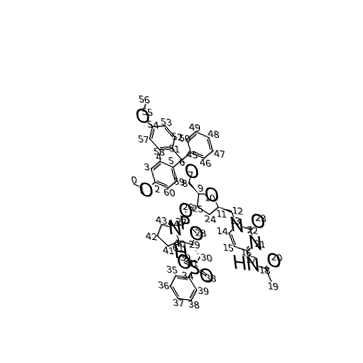 COc1ccc(C(OC[C@H]2O[C@@H](Cn3ccc(NC(C)=O)nc3=O)C[C@@H]2O[P@]2O[C@H](CS(=O)(=O)c3ccccc3)[C@@H]3CCCN32)(c2ccccc2)c2ccc(OC)cc2)cc1